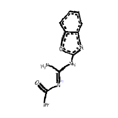 CC(C)C(=O)/N=C(\N)Nc1nc2ccccc2o1